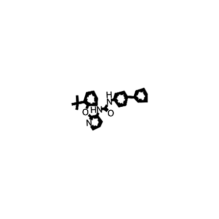 CC(C)(C)c1ccccc1Oc1ncccc1NC(=O)Nc1ccc(-c2ccccc2)cc1